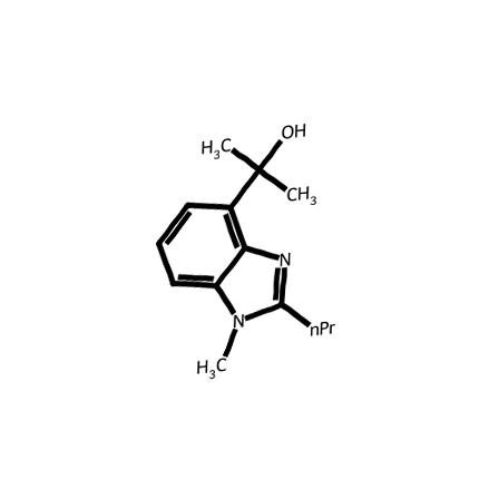 CCCc1nc2c(C(C)(C)O)cccc2n1C